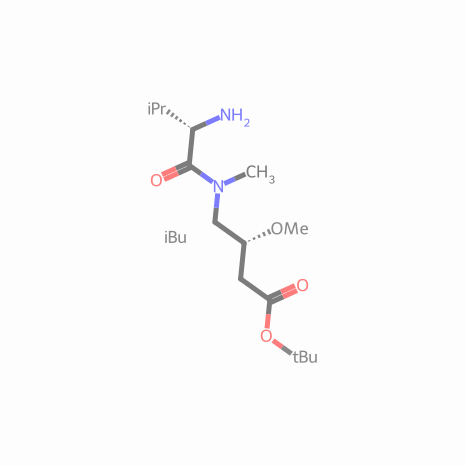 CC[C@H](C)C([C@@H](CC(=O)OC(C)(C)C)OC)N(C)C(=O)[C@@H](N)C(C)C